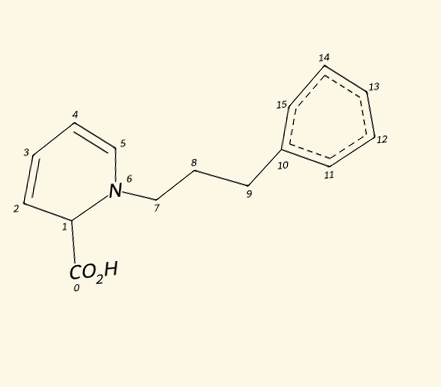 O=C(O)C1C=CC=CN1CCCc1ccccc1